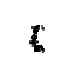 COc1c(F)cc(N2CCN(C(=O)C(=O)Nc3ccc4[nH]c(=O)ccc4c3)CC2)cc1F